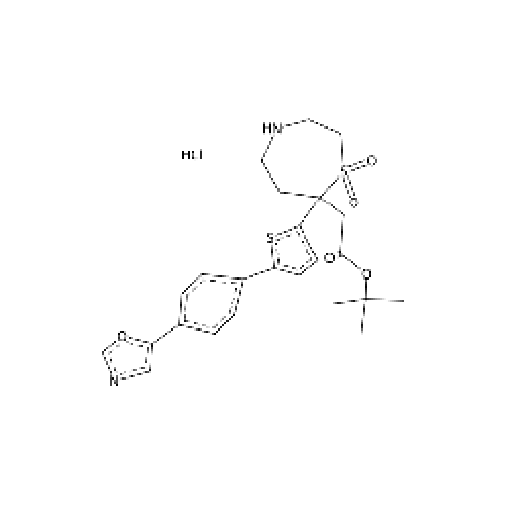 CC(C)(C)OC(=O)CC1(c2ccc(-c3ccc(-c4cnco4)cc3)s2)CCNCCS1(=O)=O.Cl